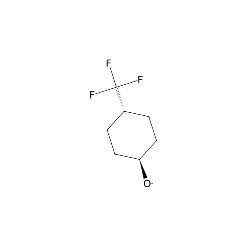 [O][C@H]1CC[C@H](C(F)(F)F)CC1